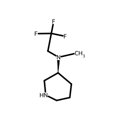 CN(CC(F)(F)F)[C@H]1CCCNC1